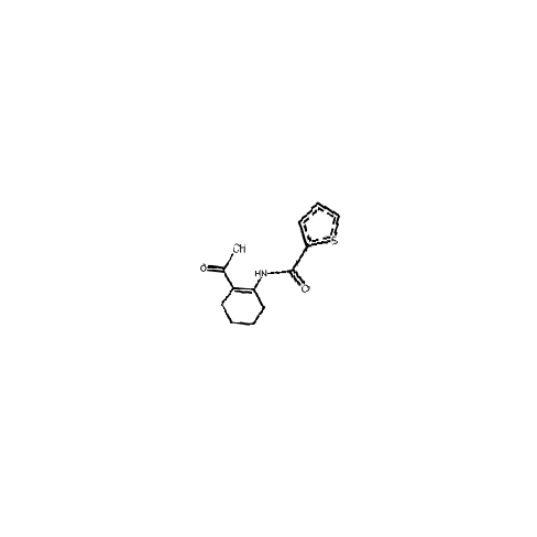 O=C(O)C1=C(NC(=O)c2cccs2)CCCC1